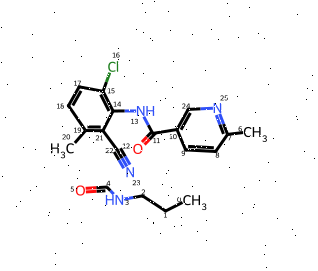 CCCNC=O.Cc1ccc(C(=O)Nc2c(Cl)ccc(C)c2C#N)cn1